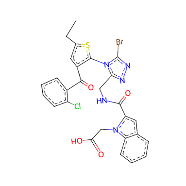 CCc1cc(C(=O)c2ccccc2Cl)c(-n2c(Br)nnc2CNC(=O)c2cc3ccccc3n2CC(=O)O)s1